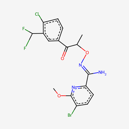 COc1nc(/C(N)=N/OC(C)C(=O)c2ccc(Cl)c(C(F)F)c2)ccc1Br